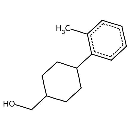 Cc1ccccc1C1CCC(CO)CC1